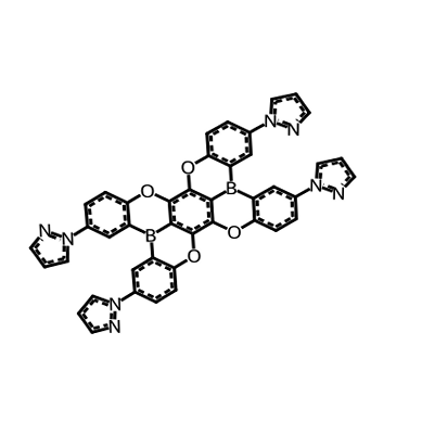 c1cnn(-c2ccc3c(c2)B2c4cc(-n5cccn5)ccc4Oc4c5c6c(c(c42)O3)Oc2ccc(-n3cccn3)cc2B6c2cc(-n3cccn3)ccc2O5)c1